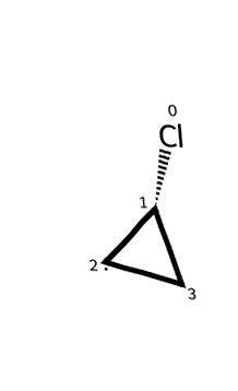 Cl[C@H]1[CH]C1